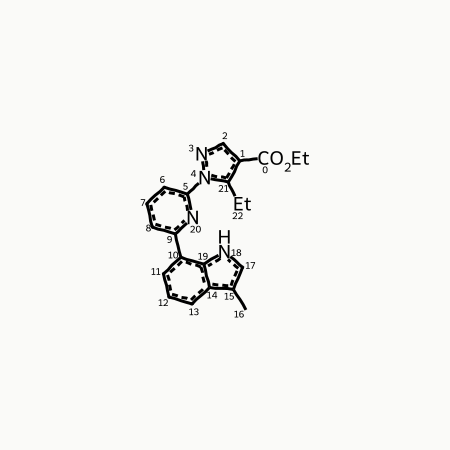 CCOC(=O)c1cnn(-c2cccc(-c3cccc4c(C)c[nH]c34)n2)c1CC